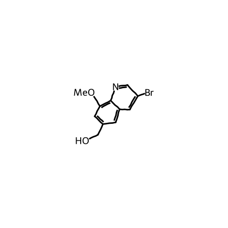 COc1cc(CO)cc2cc(Br)cnc12